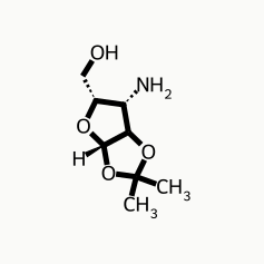 CC1(C)OC2[C@@H](O[C@H](CO)[C@@H]2N)O1